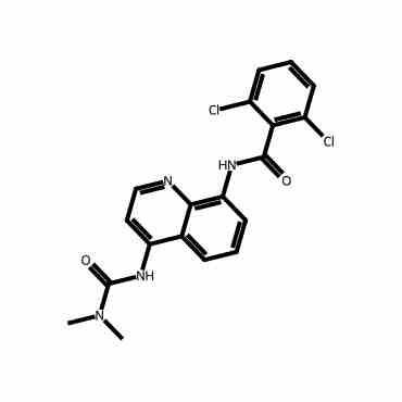 CN(C)C(=O)Nc1ccnc2c(NC(=O)c3c(Cl)cccc3Cl)cccc12